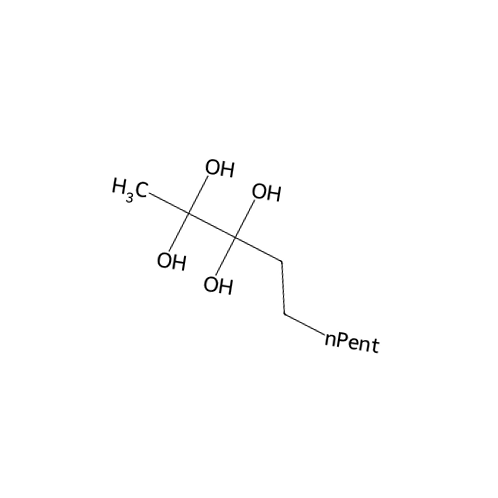 CCCCCCCC(O)(O)C(C)(O)O